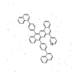 c1cncc(-c2cc3ccccc3c3cc4c(-c5ccc(-c6cccc7ccccc67)cc5)c5ccccc5c(-c5ccc(-c6cccc7ccccc67)cc5)c4cc23)c1